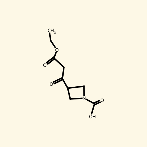 CCOC(=O)CC(=O)C1CN(C(=O)O)C1